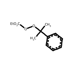 CCOC(=O)OOC(C)(C)c1ccccc1